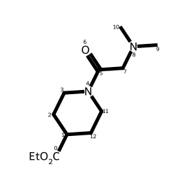 CCOC(=O)C1CCN(C(=O)CN(C)C)CC1